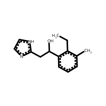 CCc1c(C)cccc1C(O)Cc1ncc[nH]1